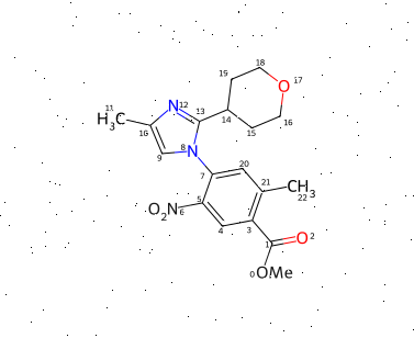 COC(=O)c1cc([N+](=O)[O-])c(-n2cc(C)nc2C2CCOCC2)cc1C